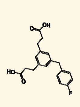 O=C(O)CCc1cc(CCC(=O)O)cc(Cc2ccc(F)cc2)c1